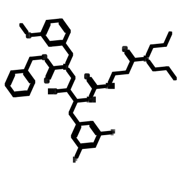 CCCN(CCC)C(=O)CCNC(=O)NC(Cc1cc(F)cc(F)c1)C(O)CN(Cc1cccc(OC)c1)C(=O)OCc1ccccc1